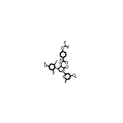 COc1cc(C)nc(N2C[C@@H](c3c(F)cc(OC)cc3F)C(NC(=O)c3ccc(OC(F)F)cc3)C2=O)c1